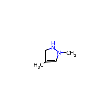 CC1=CN(C)NC1